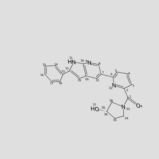 O=C(c1cccc(-c2cnc3[nH]c(-c4ccccc4)cc3c2)n1)N1CC[C@H](O)C1